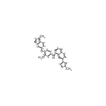 Cc1nc(-c2ncc3ncnc(Nc4ccc(Oc5ccc6c(c5)ncn6C)c(C)c4)c3n2)cs1